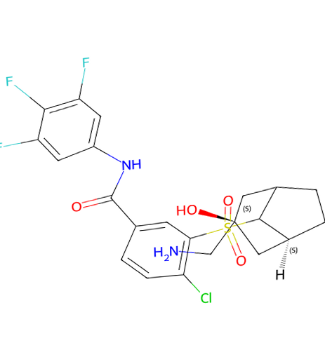 NC[C@]1(O)CC2CC[C@@H](C1)C2S(=O)(=O)c1cc(C(=O)Nc2cc(F)c(F)c(F)c2)ccc1Cl